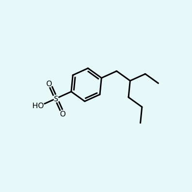 CCCC(CC)Cc1ccc(S(=O)(=O)O)cc1